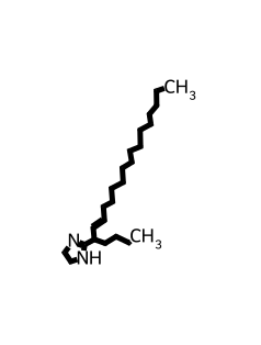 CCCCCCCCCCCCCCC=CC(CCCC)C1=NCCN1